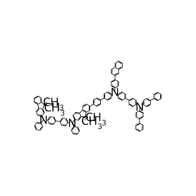 CC1(C)c2ccccc2-c2ccc(N(c3ccccc3)c3ccc(-c4ccc(N(c5ccccc5)c5ccc6c(c5)C(C)(C)c5cc(-c7ccc(-c8ccc(N(c9ccc(-c%10ccc(N(c%11ccc(-c%12ccccc%12)cc%11)c%11ccc(-c%12ccccc%12)cc%11)cc%10)cc9)c9ccc(-c%10ccc%11ccccc%11c%10)cc9)cc8)cc7)ccc5-6)cc4)cc3)cc21